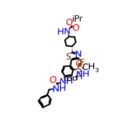 CC(C)OC(=O)N[C@H]1CC[C@H](c2nc(F)c(-c3ccc(NC(=O)NCc4ccccc4)cc3[SH](C)(=O)NC(C)(C)C)s2)CC1